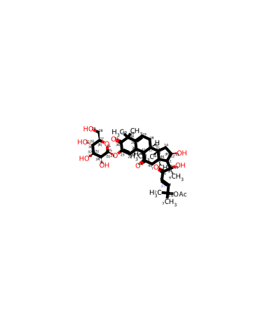 CC(=O)OC(C)(C)/C=C/C(=O)[C@](C)(O)C1[C@H](O)C[C@@]2(C)[C@@H]3CC=C4[C@@H](C=C(O[C@@H]5O[C@H](CO)[C@@H](O)[C@H](O)[C@H]5O)C(=O)C4(C)C)[C@]3(C)C(=O)C[C@]12C